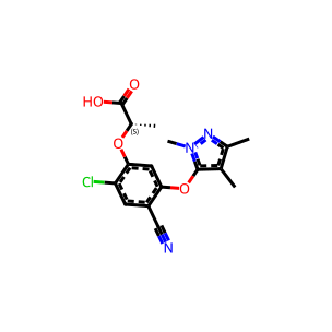 Cc1nn(C)c(Oc2cc(O[C@@H](C)C(=O)O)c(Cl)cc2C#N)c1C